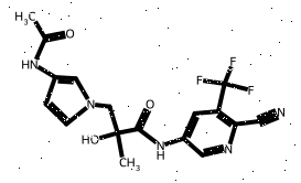 CC(=O)Nc1ccn(CC(C)(O)C(=O)Nc2cnc(C#N)c(C(F)(F)F)c2)c1